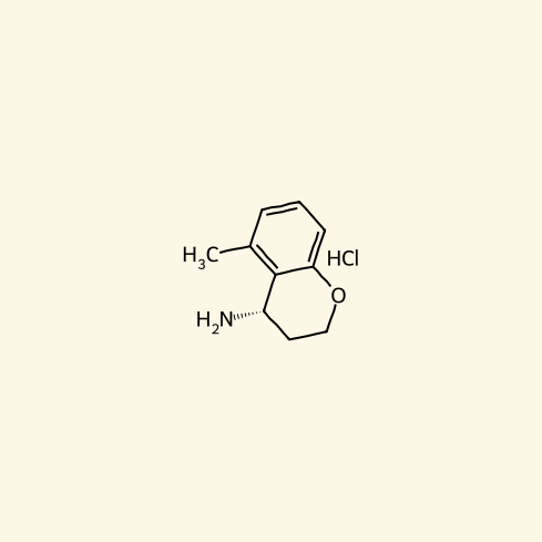 Cc1cccc2c1[C@@H](N)CCO2.Cl